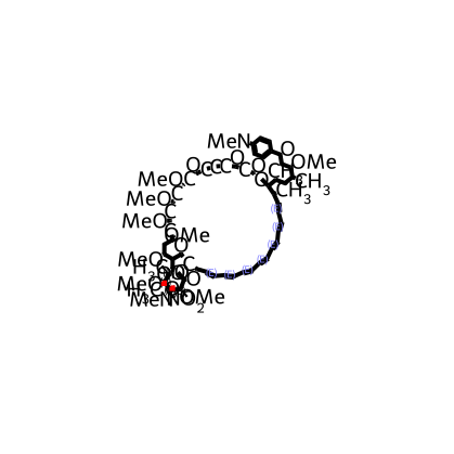 CNc1ccc(C(=O)CC(OC)C(C)CC(C)C2OC(=O)CC(=O)CCCC(=O)CC(OC)CC(OC)CC(OC)CC3(OC)CC(OC)C(C(=O)OC(C)O[N+](=O)[O-])C(CC(OC4O[C@H](C)[C@@H](OC)[C@H](NC)[C@@H]4OC)/C=C/C=C/C=C/C=C/C=C/C=C/C=C/C2C)O3)cc1